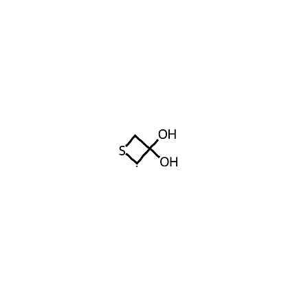 OC1(O)[CH]SC1